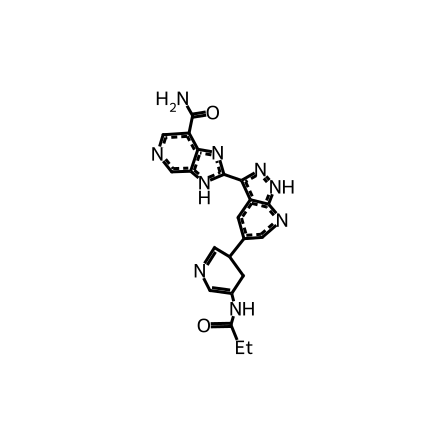 CCC(=O)NC1=CN=CC(c2cnc3[nH]nc(-c4nc5c(C(N)=O)cncc5[nH]4)c3c2)C1